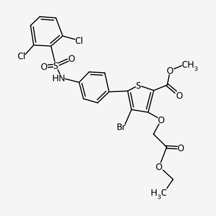 CCOC(=O)COc1c(C(=O)OC)sc(-c2ccc(NS(=O)(=O)c3c(Cl)cccc3Cl)cc2)c1Br